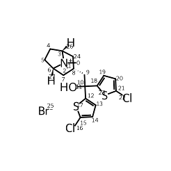 C[N+]1(C)[C@@H]2CC[C@H]1C[C@@H](CC(O)(c1ccc(Cl)s1)c1ccc(Cl)s1)C2.[Br-]